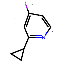 Ic1ccnc(C2CC2)c1